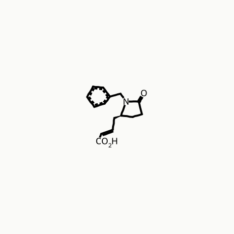 O=C(O)/C=C/C[C@@H]1CCC(=O)N1Cc1ccccc1